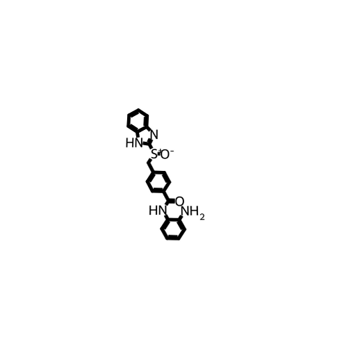 Nc1ccccc1NC(=O)c1ccc(C[S+]([O-])c2nc3ccccc3[nH]2)cc1